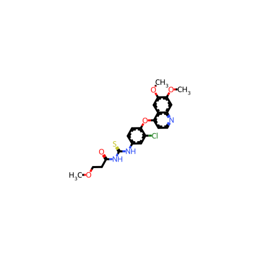 COCCC(=O)NC(=S)Nc1ccc(Oc2ccnc3cc(OC)c(OC)cc23)c(Cl)c1